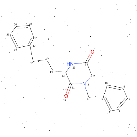 O=C1CN(Cc2ccccc2)C(=O)[C@H](CCCc2ccccc2)N1